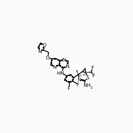 C[C@]1(c2cc(Nc3ncnc4cc(OCc5ncco5)cnc34)cc(F)c2F)N=C(N)S[C@@]2(C(F)F)CC21